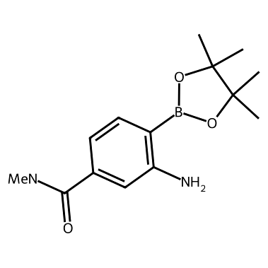 CNC(=O)c1ccc(B2OC(C)(C)C(C)(C)O2)c(N)c1